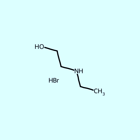 Br.CCNCCO